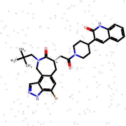 CC(C)(C)CN1Cc2c(cc(Br)c3[nH]ncc23)C[C@@H](CC(=O)N2CCC(c3cc4ccccc4[nH]c3=O)CC2)C1=O